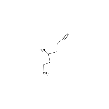 [CH2]CCC(N)CCC#N